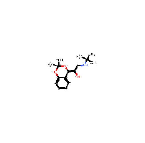 CC(C)(C)NCC(O)C1OC(C)(C)Oc2ccccc21